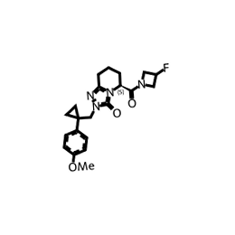 COc1ccc(C2(Cn3nc4n(c3=O)[C@H](C(=O)N3CC(F)C3)CCC4)CC2)cc1